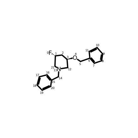 F[C@@H]1C[C@@H](OCc2ccccc2)CN(Cc2ccccc2)C1